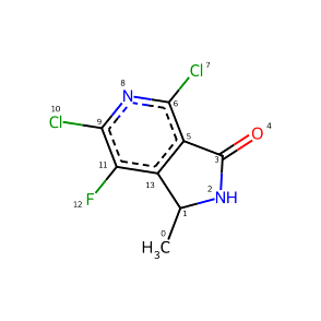 CC1NC(=O)c2c(Cl)nc(Cl)c(F)c21